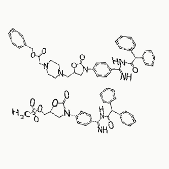 CS(=O)(=O)OCC1CN(c2ccc(C(=N)NC(=O)C(c3ccccc3)c3ccccc3)cc2)C(=O)O1.N=C(NC(=O)C(c1ccccc1)c1ccccc1)c1ccc(N2CC(CN3CCN(CC(=O)OCc4ccccc4)CC3)OC2=O)cc1